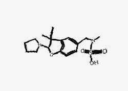 CN(Cc1ccc2c(c1)C(C)(C)C(N1CCCC1)O2)S(=O)(=O)O